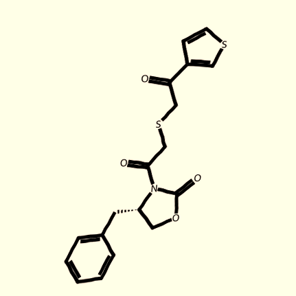 O=C(CSCC(=O)N1C(=O)OC[C@@H]1Cc1ccccc1)c1ccsc1